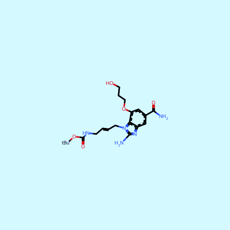 CC(C)(C)OC(=O)NC/C=C/Cn1c(N)nc2cc(C(N)=O)cc(OCCCO)c21